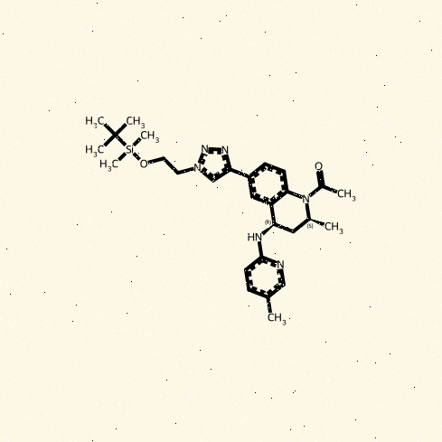 CC(=O)N1c2ccc(-c3cn(CCO[Si](C)(C)C(C)(C)C)nn3)cc2[C@H](Nc2ccc(C)cn2)C[C@@H]1C